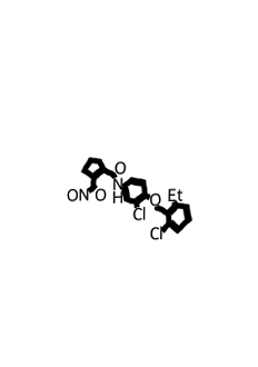 CCc1cccc(Cl)c1COc1ccc(NC(=O)C2=C(C(=O)N=O)CCC2)cc1Cl